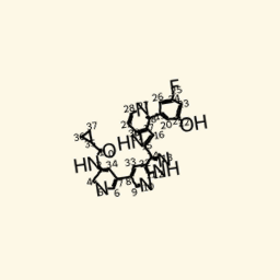 O=C(Nc1cncc(-c2cnc3[nH]nc(-c4cc5c(-c6cc(O)cc(F)c6)nccc5[nH]4)c3c2)c1)C1CC1